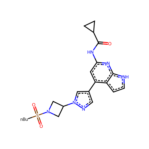 CCCCS(=O)(=O)N1CC(n2cc(-c3cc(NC(=O)C4CC4)nc4[nH]ccc34)cn2)C1